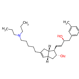 CCCN(CCC)CCCCCC1=C[C@H]2C[C@@H](O)[C@H](/C=C/[C@@H](O)Cc3cccc(C)c3)[C@H]2C1